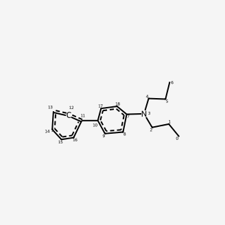 CCCN(CCC)c1ccc(-c2cc[c]cc2)cc1